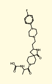 CC(NC(=O)O)C(=O)N1CCC2(CC1)CC(CCN1CCN(c3ccc(F)cc3)CC1)NC2=O